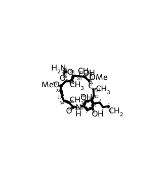 C=CCCc1c(O)cc2c(O)c1C[C@@H](C)C[C@H](OC)C(O)[C@@H](C)/C=C(\C)C(OC(N)=O)C(OC)/C=C\C=C(/C)C(=O)N2